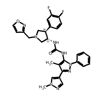 Cc1c(-c2cnn(C)c2)nn(-c2ccccc2)c1NC(=O)N[C@@H]1CN(Cc2ccon2)C[C@H]1c1ccc(F)c(F)c1